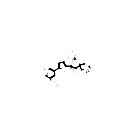 CC1(c2sc(-c3cncc(C#N)c3)cc2Cl)CC2(CS(=O)(=O)C2)OC(N)=N1